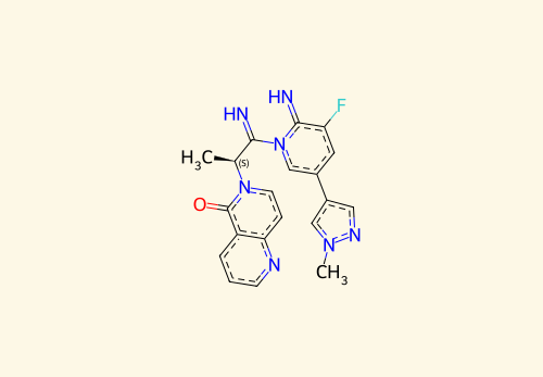 C[C@@H](C(=N)n1cc(-c2cnn(C)c2)cc(F)c1=N)n1ccc2ncccc2c1=O